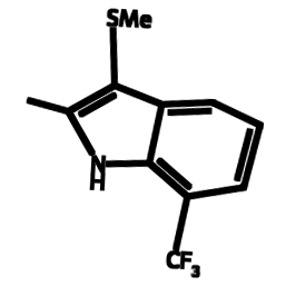 CSc1c(C)[nH]c2c(C(F)(F)F)cccc12